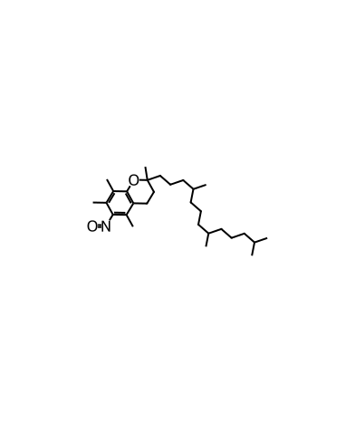 Cc1c(C)c2c(c(C)c1N=O)CCC(C)(CCCC(C)CCCC(C)CCCC(C)C)O2